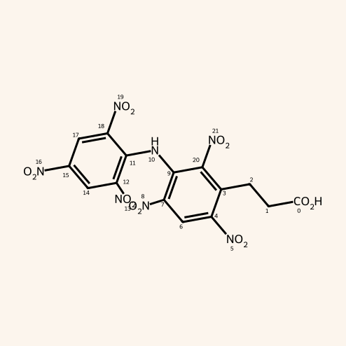 O=C(O)CCc1c([N+](=O)[O-])cc([N+](=O)[O-])c(Nc2c([N+](=O)[O-])cc([N+](=O)[O-])cc2[N+](=O)[O-])c1[N+](=O)[O-]